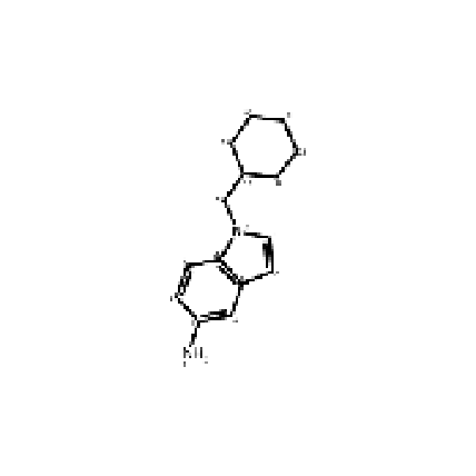 Nc1ccc2c(ccn2CC2CCCCC2)c1